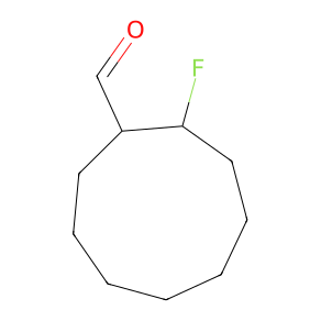 O=CC1CCCCCCCC1F